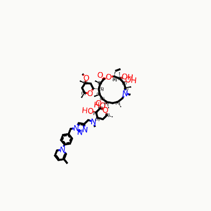 CC[C@H]1OC(=O)[C@H](C)[C@@H](C2C[C@@](C)(OC)C[C@H](C)O2)[C@H](C)[C@@H](O[C@@H]2O[C@H](C)C[C@H](N(C)Cc3cn(Cc4ccc(N5C=C(C)C=CC5)cc4)nn3)[C@H]2O)[C@](C)(O)C[C@@H](C)CN(C)[C@H](C)[C@@H](O)[C@]1(C)O